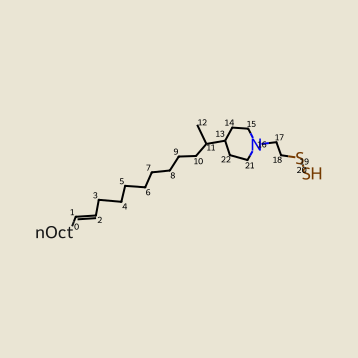 CCCCCCCCC=CCCCCCCCCC(C)C1CCN(CCSS)CC1